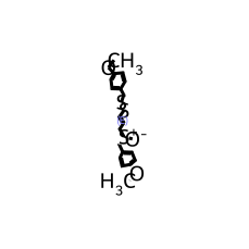 COc1ccc(CSS/C=C/C[S+]([O-])Cc2ccc(OC)cc2)cc1